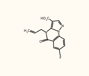 C=CCn1c(=O)c2cc(F)ccc2n2ncc(C(=O)O)c12